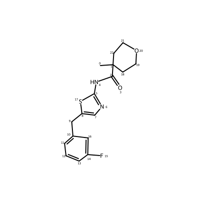 CC1(C(=O)Nc2ncc(Cc3cccc(F)c3)s2)CCOCC1